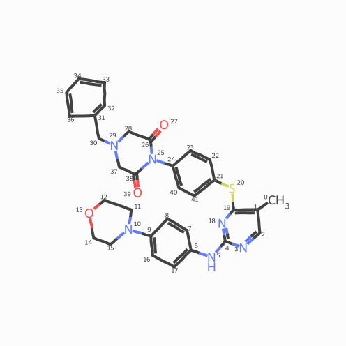 Cc1cnc(Nc2ccc(N3CCOCC3)cc2)nc1Sc1ccc(N2C(=O)CN(Cc3ccccc3)CC2=O)cc1